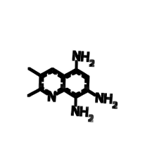 Cc1cc2c(N)cc(N)c(N)c2nc1C